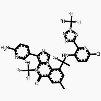 [2H]C(C)(Nc1ccc(Cl)nc1-c1nnn(C([2H])([2H])[2H])n1)c1cc(C)cc2c(=O)n(C([2H])([2H])[2H])c3c(-c4ccc(N)nc4)ncn3c12